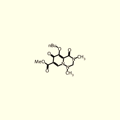 CCCCOc1c2n(cc(C(=O)OC)c1=O)N(C)CN(C)C2=O